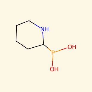 OP(O)C1CCCCN1